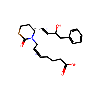 O=C(O)CCC/C=C\CN1C(=O)SCC[C@@H]1/C=C/C(O)Cc1ccccc1